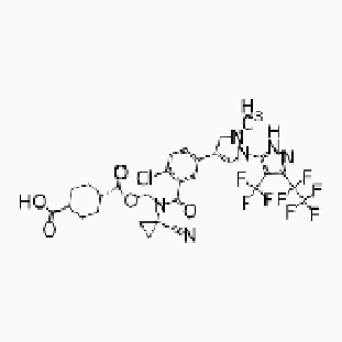 CN1CC(c2ccc(Cl)c(C(=O)N(COC(=O)[C@H]3CC[C@H](C(=O)O)CC3)C3(C#N)CC3)c2)=CN1c1[nH]nc(C(F)(F)C(F)(F)F)c1C(F)(F)F